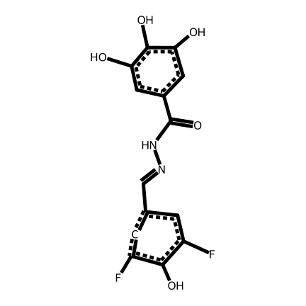 O=C(N/N=C/c1cc(F)c(O)c(F)c1)c1cc(O)c(O)c(O)c1